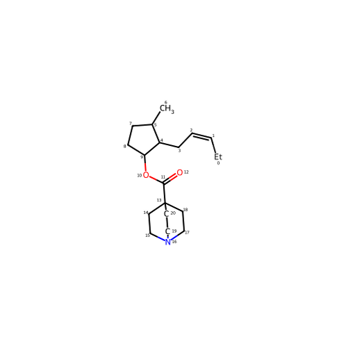 CC/C=C\CC1C(C)CCC1OC(=O)C12CCN(CC1)CC2